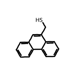 SCc1cc2ccccc2c2ccccc12